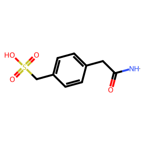 [NH]C(=O)Cc1ccc(CS(=O)(=O)O)cc1